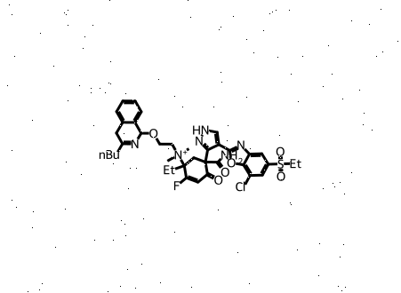 CCCCC1=NC(OCC[N+](C)(C)C2(CC)CC(C(N)=O)(c3n[nH]cc3-c3nc4cc(S(=O)(=O)CC)cc(Cl)c4o3)C(=O)C=C2F)c2ccccc2C1